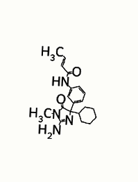 C/C=C/C(=O)Nc1cccc(C2(C3CCCCC3)N=C(N)N(C)C2=O)c1